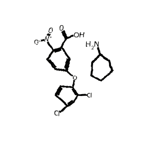 NC1CCCCC1.O=C(O)c1cc(Oc2ccc(Cl)cc2Cl)ccc1[N+](=O)[O-]